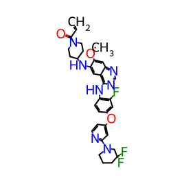 C=CC(=O)N1CCC(Nc2cc3c(Nc4ccc(Oc5ccnc(N6CCCC(F)(F)C6)c5)cc4F)ncnc3cc2OC)CC1